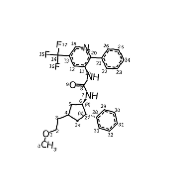 COCCC1C[C@@H](NC(=O)Nc2cc(C(F)(F)F)cnc2-c2ccccc2)[C@H](c2ccccc2)C1